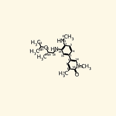 CNc1ccc(-c2cc(C)c(=O)n(C)c2)cc1NC[C@H](C)OC(C)C